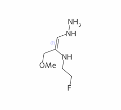 COC/C(=C/NN)NCCF